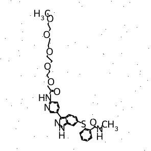 CNC(=O)c1ccccc1Sc1ccc2c(-c3ccc(NC(=O)COCCOCCOCCOCCOC)nc3)n[nH]c2c1